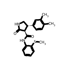 CSc1ccccc1NC(=O)[C@H]1C(=O)NC[C@@H]1c1ccc(C)c(C)c1